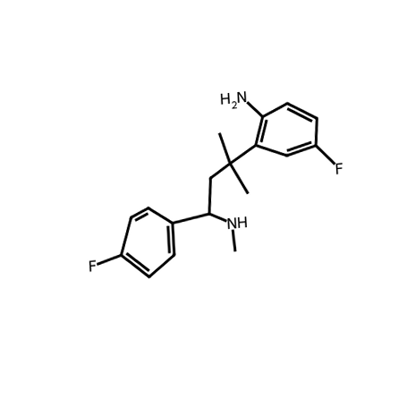 CNC(CC(C)(C)c1cc(F)ccc1N)c1ccc(F)cc1